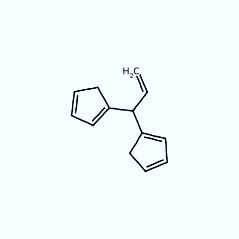 C=C[C](C1=CC=CC1)C1=CC=CC1